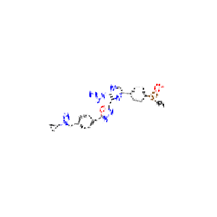 CC(C)[S+]([O-])c1ccc(-c2cnc(N)c(-c3nnc(-c4ccc(CNC5CC5)cc4)o3)n2)cc1